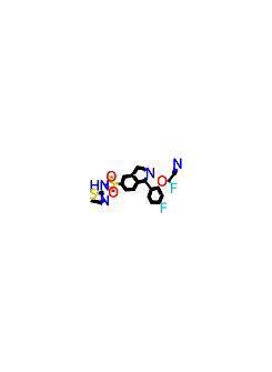 N#CC(F)Oc1cc(F)ccc1-c1nccc2cc(S(=O)(=O)Nc3nccs3)ccc12